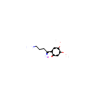 COc1cc2onc(CCCN)c2cc1OC